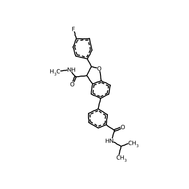 CNC(=O)C1c2cc(-c3cccc(C(=O)NC(C)C)c3)ccc2OC1c1ccc(F)cc1